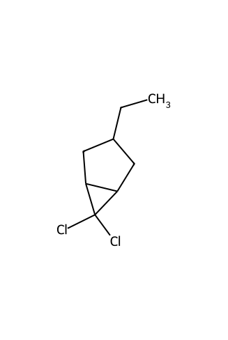 CCC1CC2C(C1)C2(Cl)Cl